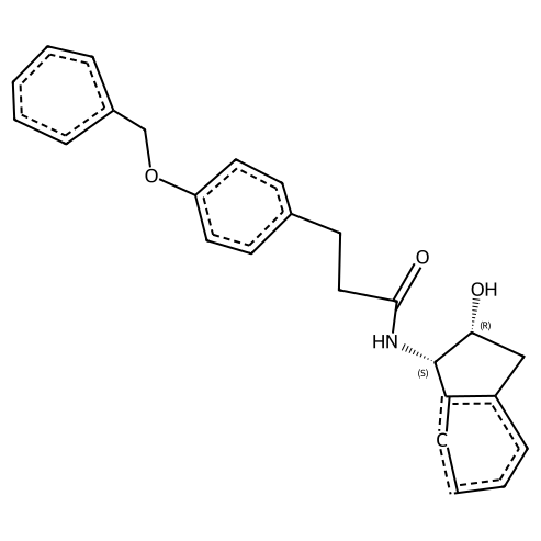 O=C(CCc1ccc(OCc2ccccc2)cc1)N[C@H]1c2ccccc2C[C@H]1O